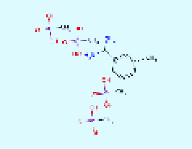 CP(=O)(O)O.CP(=O)(O)O.CP(=O)(O)O.CP(=O)(O)O.Cc1cccc(C(N)N)c1